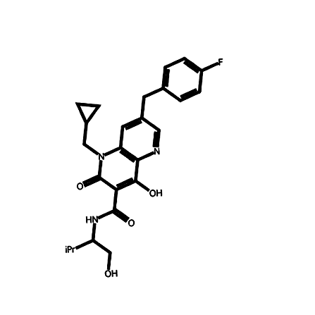 CC(C)C(CO)NC(=O)c1c(O)c2ncc(Cc3ccc(F)cc3)cc2n(CC2CC2)c1=O